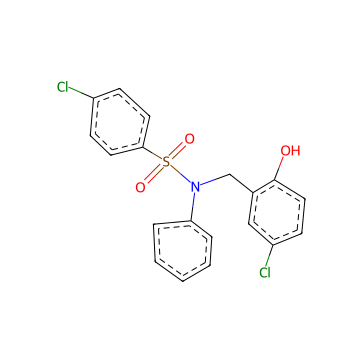 O=S(=O)(c1ccc(Cl)cc1)N(Cc1cc(Cl)ccc1O)c1ccccc1